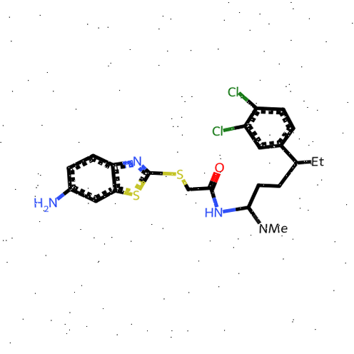 CCC(CCC(NC)NC(=O)CSc1nc2ccc(N)cc2s1)c1ccc(Cl)c(Cl)c1